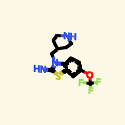 N=c1sc2cc(OC(F)(F)F)ccc2n1CC1CCNCC1